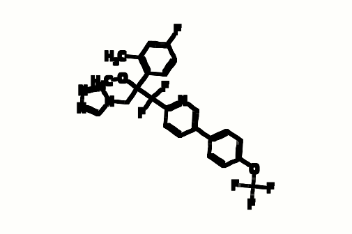 COC(Cn1cnnn1)(c1ccc(F)cc1C)C(F)(F)c1ccc(-c2ccc(OC(F)(F)F)cc2)cn1